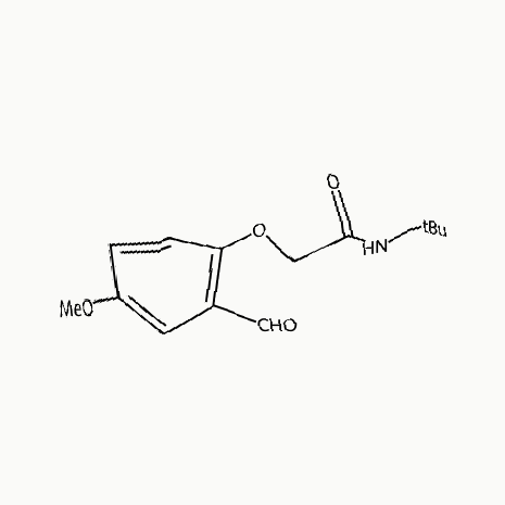 COc1ccc(OCC(=O)NC(C)(C)C)c(C=O)c1